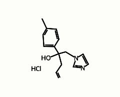 C=CCC(O)(Cn1ccnc1)c1ccc(C)cc1.Cl